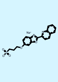 O=S(=O)([O-])CCCOc1ccc2nc(-c3ccc4ccccc4n3)oc2c1.[Na+]